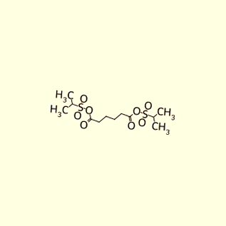 CC(C)S(=O)(=O)OC(=O)CCCCC(=O)OS(=O)(=O)C(C)C